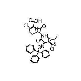 Cc1nc(/C(=N/OC(c2ccccc2)(c2ccccc2)c2ccccc2)C(=O)N[C@@H]2C(=O)N3C(C(=O)O)=C(Cl)CCC23)c(Cl)s1